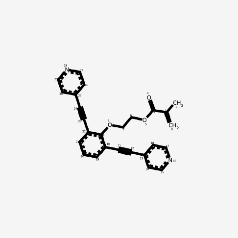 C=C(C)C(=O)OCCOc1c(C#Cc2ccncc2)cccc1C#Cc1ccncc1